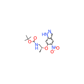 C[C@@H](CNC(=O)OC(C)(C)C)Oc1cc2[nH]ncc2cc1[N+](=O)[O-]